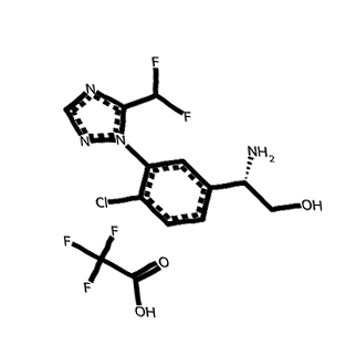 N[C@H](CO)c1ccc(Cl)c(-n2ncnc2C(F)F)c1.O=C(O)C(F)(F)F